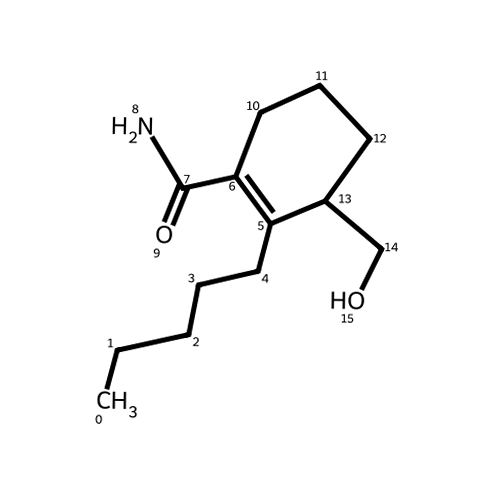 CCCCCC1=C(C(N)=O)CCCC1CO